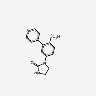 O=C1NCCN1c1ccc(S(=O)(=O)O)c(-c2ccncc2)c1